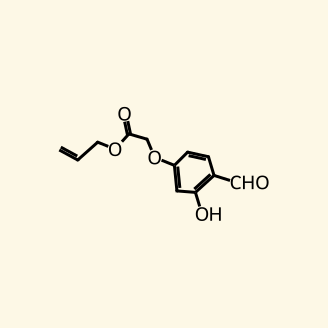 C=CCOC(=O)COc1ccc(C=O)c(O)c1